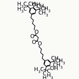 CC(C)(C)c1cc(CCCCCOC(=O)CC(=O)OCCCCCc2cc(C(C)(C)C)c(O)c(C(C)(C)C)c2)cc(C(C)(C)C)c1O